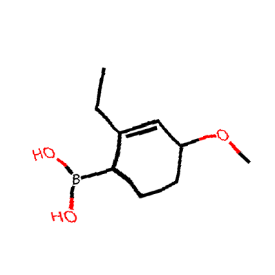 CCC1=CC(OC)CCC1B(O)O